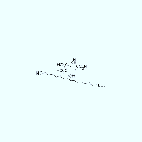 CCCCCCCCCCCCCCCCCCCCCCCCO.O=C(O)CC(O)(CC(=O)O)C(=O)O.[KH].[KH]